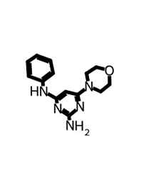 Nc1nc(Nc2ccccc2)cc(N2CCOCC2)n1